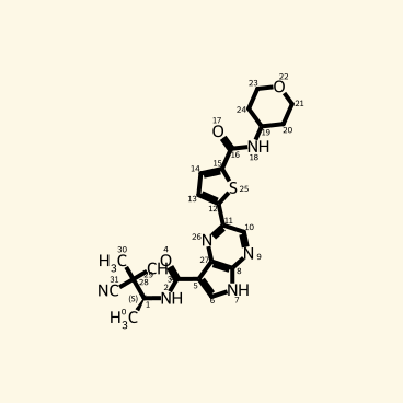 C[C@H](NC(=O)c1c[nH]c2ncc(-c3ccc(C(=O)NC4CCOCC4)s3)nc12)C(C)(C)C#N